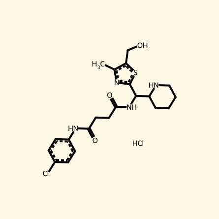 Cc1nc(C(NC(=O)CCC(=O)Nc2ccc(Cl)cc2)C2CCCCN2)sc1CO.Cl